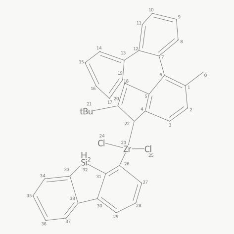 Cc1ccc2c(c1-c1ccccc1-c1ccccc1)C=C(C(C)(C)C)[CH]2[Zr]([Cl])([Cl])[c]1cccc2c1[SiH2]c1ccccc1-2